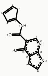 O=C(NC1=CC=CC1)c1c[nH]c2sccc2c1=O